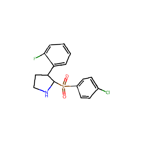 O=S(=O)(c1ccc(Cl)cc1)C1NCCC1c1ccccc1F